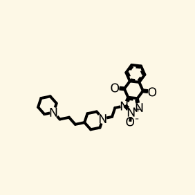 O=C1c2ccccc2C(=O)c2c1n[n+]([O-])n2CCN1CCC(CCCN2CCCCC2)CC1